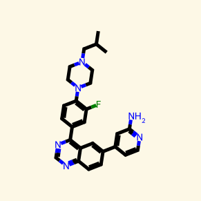 CC(C)CN1CCN(c2ccc(-c3ncnc4ccc(-c5ccnc(N)c5)cc34)cc2F)CC1